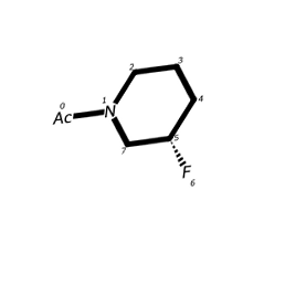 CC(=O)N1CCC[C@H](F)C1